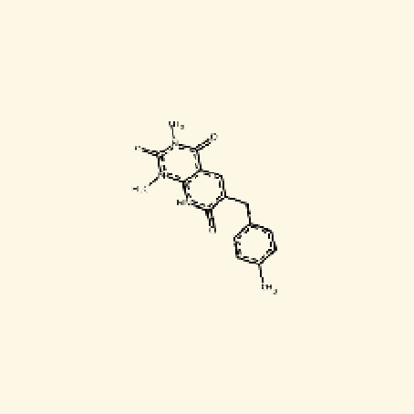 Cc1ccc(Cc2cc3c(=O)n(C)c(=O)n(C)c3[nH]c2=O)cc1